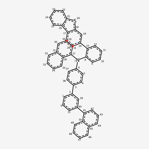 c1cc(-c2ccc(N(c3ccccc3-c3ccc4c(c3)sc3ccccc34)c3cccc4ccccc34)cc2)cc(-c2cccc3ccccc23)c1